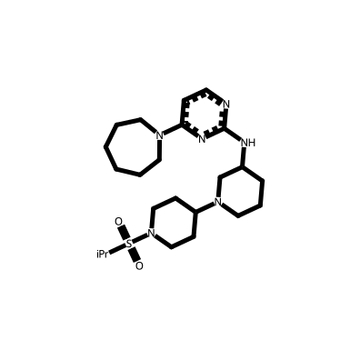 CC(C)S(=O)(=O)N1CCC(N2CCCC(Nc3nccc(N4CCCCCC4)n3)C2)CC1